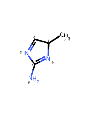 CC1C=NC(N)=N1